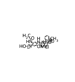 C=CC(=O)Nc1cc(Nc2ncc(Cl)c(Nc3ccccc3P(C)(C)=O)n2)c(OC)cc1N1CCC(O)C1